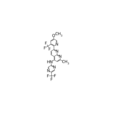 COc1cnc(-c2ccc3c(Nc4cnc(C(F)(F)F)cn4)cc(C)nc3n2)c(C(F)(F)F)c1